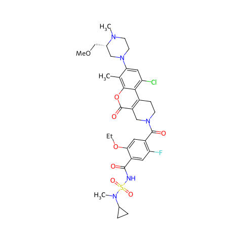 CCOc1cc(C(=O)N2CCc3c(c(=O)oc4c(C)c(N5CCN(C)[C@@H](COC)C5)cc(Cl)c34)C2)c(F)cc1C(=O)NS(=O)(=O)N(C)C1CC1